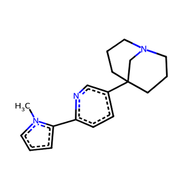 Cn1cccc1-c1ccc(C23CCCN(CCC2)C3)cn1